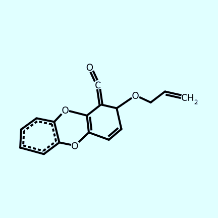 C=CCOC1C=CC2=C(Oc3ccccc3O2)C1=C=O